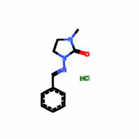 CN1CCN(N=Cc2ccccc2)C1=O.Cl